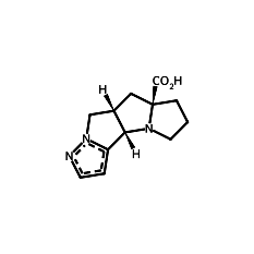 O=C(O)[C@@]12CCCN1[C@@H]1c3ccnn3C[C@@H]1C2